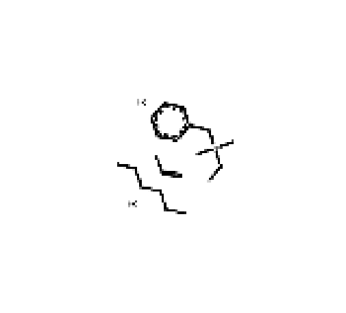 C=CC.CCCCC[O].CC[N+](C)(C)Cc1ccccc1.Cl.Cl